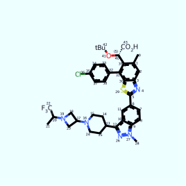 Cc1cc2nc(-c3ccc4c(c3)c(C3CCN(C5CN(C(C)C(F)(F)F)C5)CC3)nn4C)sc2c(-c2ccc(Cl)cc2)c1[C@H](OC(C)(C)C)C(=O)O